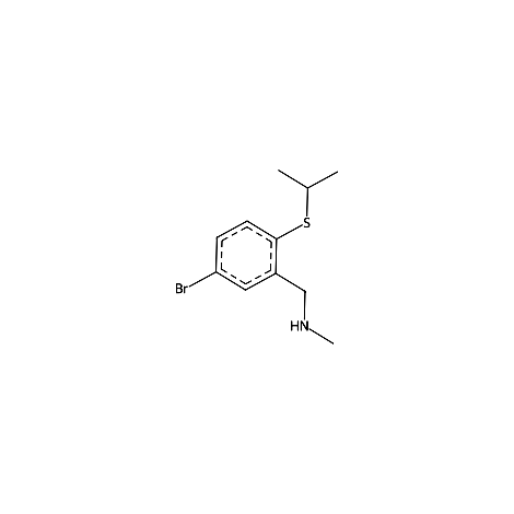 CNCc1cc(Br)ccc1SC(C)C